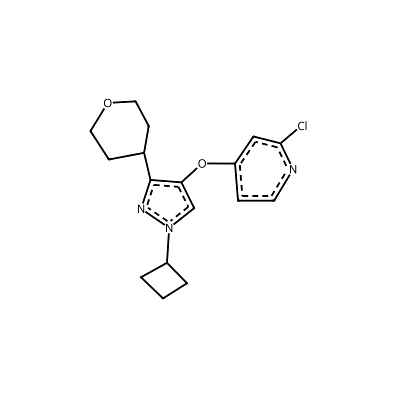 Clc1cc(Oc2cn(C3CCC3)nc2C2CCOCC2)ccn1